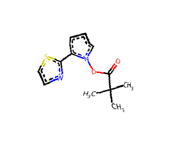 CC(C)(C)C(=O)On1cccc1-c1nccs1